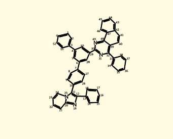 c1ccc(-c2cc(-c3ccc(-c4c(-c5ccccc5)nc5ccccn45)cc3)cc(-c3nc(-c4ccccc4)c4ccc5ccccc5c4n3)c2)cc1